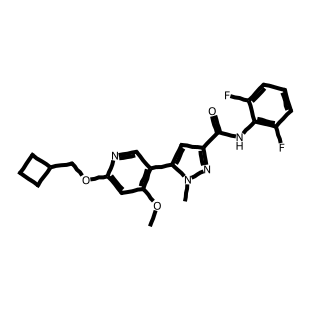 COc1cc(OCC2CCC2)ncc1-c1cc(C(=O)Nc2c(F)cccc2F)nn1C